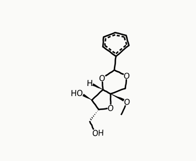 CO[C@]12COC(c3ccccc3)O[C@H]1[C@H](O)[C@@H](CO)O2